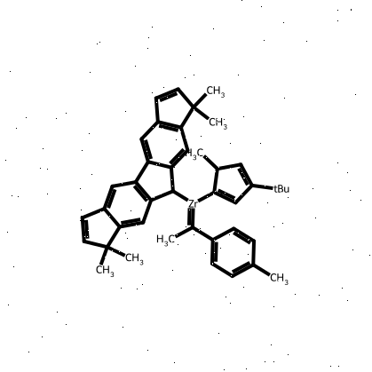 C[C](c1ccc(C)cc1)=[Zr]([C]1=CC(C(C)(C)C)=CC1C)[CH]1c2cc3c(cc2-c2cc4c(cc21)C(C)(C)C=C4)C=CC3(C)C